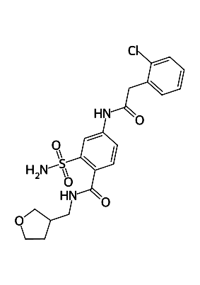 NS(=O)(=O)c1cc(NC(=O)Cc2ccccc2Cl)ccc1C(=O)NCC1CCOC1